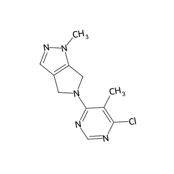 Cc1c(Cl)ncnc1N1Cc2cnn(C)c2C1